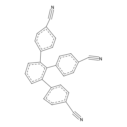 N#Cc1ccc(-c2cccc(-c3ccc(C#N)cc3)c2-c2ccc(C#N)cc2)cc1